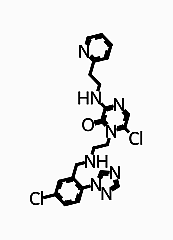 O=c1c(NCCc2ccccn2)ncc(Cl)n1CCNCc1cc(Cl)ccc1-n1cncn1